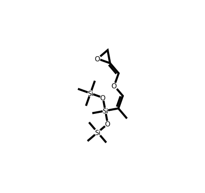 CC(=COC=C1CO1)[Si](C)(O[Si](C)(C)C)O[Si](C)(C)C